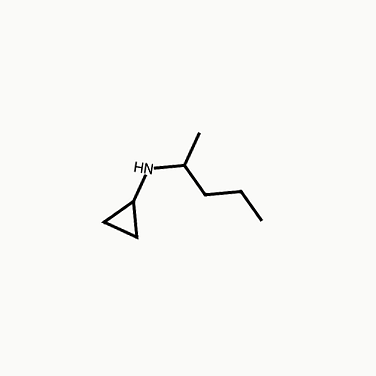 CCCC(C)NC1CC1